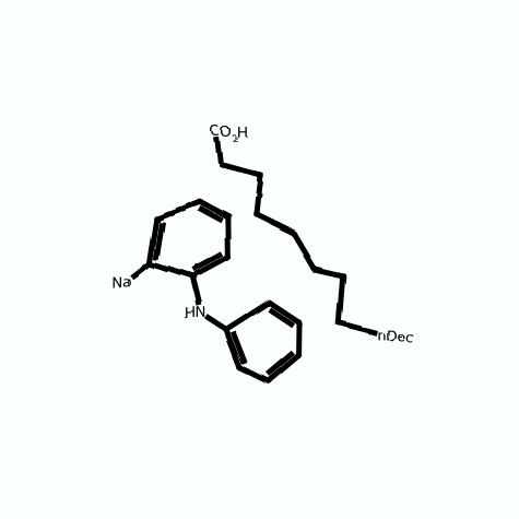 CCCCCCCCCCCCCCCCCC(=O)O.[Na][c]1ccccc1Nc1ccccc1